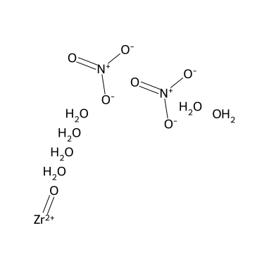 O.O.O.O.O.O.O=[N+]([O-])[O-].O=[N+]([O-])[O-].[O]=[Zr+2]